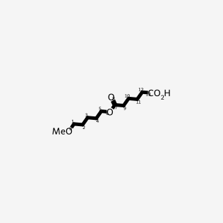 COCCCCCOC(=O)CCCCC(=O)O